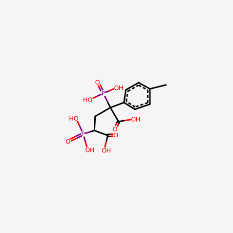 Cc1ccc(C(CC(C(=O)O)P(=O)(O)O)(C(=O)O)P(=O)(O)O)cc1